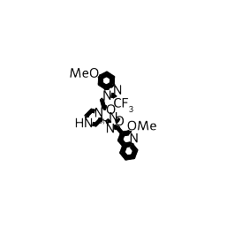 COc1ccc2nc(C(F)(F)F)n(CC(=O)N3CCNC[C@H]3c3noc(-c4cc5ccccc5nc4OC)n3)c2c1